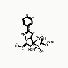 CCCCOC(=O)[N+](N)(C(C)=O)[C@@](CC=NO)(C(=O)O)C1CC(c2ccccc2)=NO1